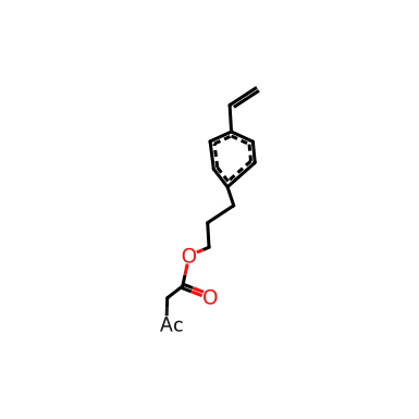 C=Cc1ccc(CCCOC(=O)CC(C)=O)cc1